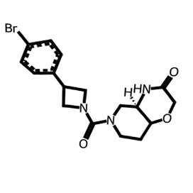 O=C1COC2CCN(C(=O)N3CC(c4ccc(Br)cc4)C3)C[C@H]2N1